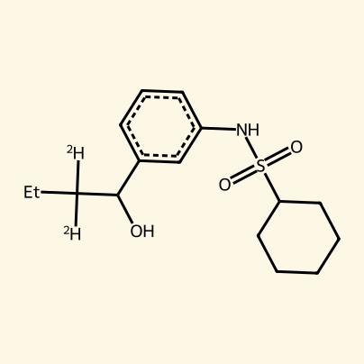 [2H]C([2H])(CC)C(O)c1cccc(NS(=O)(=O)C2CCCCC2)c1